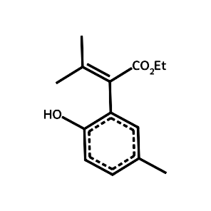 CCOC(=O)C(=C(C)C)c1cc(C)ccc1O